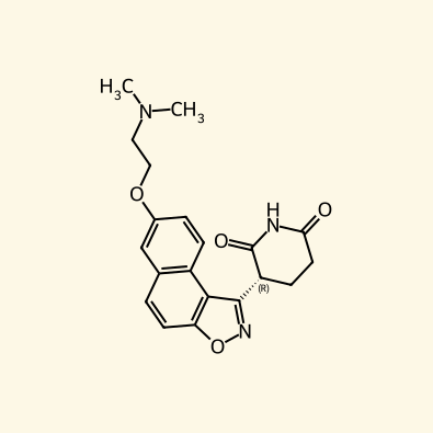 CN(C)CCOc1ccc2c(ccc3onc([C@H]4CCC(=O)NC4=O)c32)c1